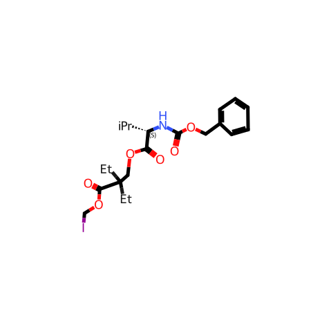 CCC(CC)(COC(=O)[C@@H](NC(=O)OCc1ccccc1)C(C)C)C(=O)OCI